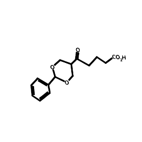 O=C(O)CCCC(=O)C1COC(c2ccccc2)OC1